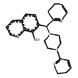 O=Nc1c(C(C2=NC=CCC2)N2CCN(C3=NCCC=C3)CC2)ccc2cccnc12